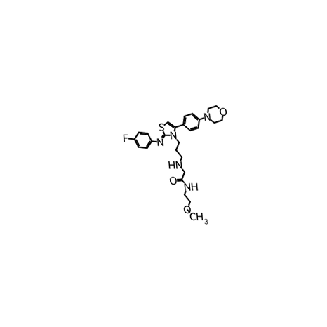 COCCNC(=O)CNCCCn1c(-c2ccc(N3CCOCC3)cc2)cs/c1=N\c1ccc(F)cc1